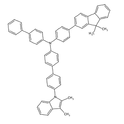 Cc1c(C)n(-c2ccc(-c3ccc(N(c4ccc(-c5ccccc5)cc4)c4ccc(-c5ccc6c(c5)C(C)(C)c5ccccc5-6)cc4)cc3)cc2)c2ccccc12